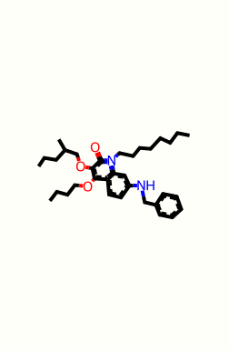 CCCCCCCCn1c(=O)c(OCC(C)CCC)c(OCCCC)c2ccc(NCc3ccccc3)cc21